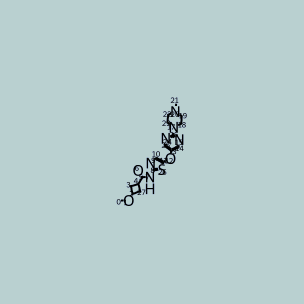 COC1CC(C(=O)Nc2ncc(Oc3cnc(N4CCN(C)CC4)nc3)s2)C1